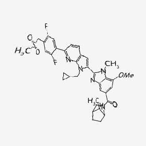 COc1cc(C(=O)N2CC3CCC2[C@@H]3C)cc2nc(-c3cc4ccc(-c5cc(F)c(CS(C)(=O)=O)cc5F)nc4n3CC3CC3)n(C)c12